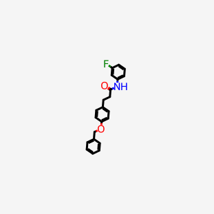 O=C(CCc1ccc(OCc2ccccc2)cc1)Nc1cccc(F)c1